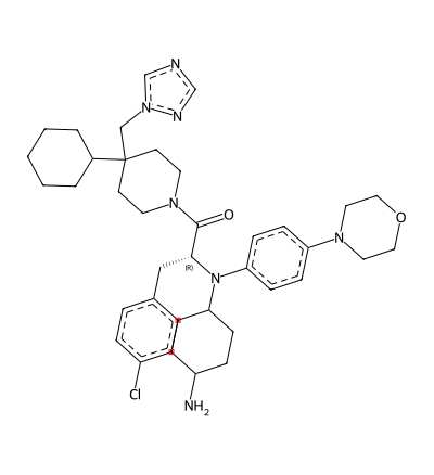 NC1CCC(N(c2ccc(N3CCOCC3)cc2)[C@H](Cc2ccc(Cl)cc2)C(=O)N2CCC(Cn3cncn3)(C3CCCCC3)CC2)CC1